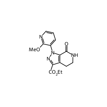 CCOC(=O)c1nn(-c2cccnc2OC)c2c1CCNC2=O